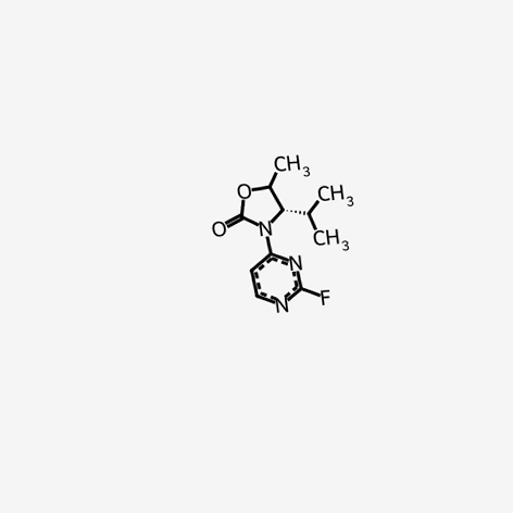 CC(C)[C@H]1C(C)OC(=O)N1c1ccnc(F)n1